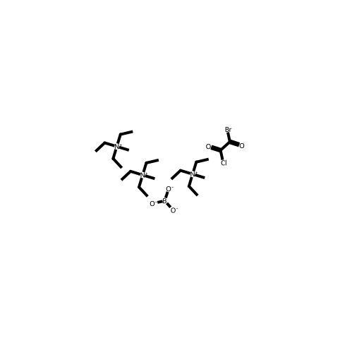 CC[N+](C)(CC)CC.CC[N+](C)(CC)CC.CC[N+](C)(CC)CC.O=C(Cl)C(=O)Br.[O-]B([O-])[O-]